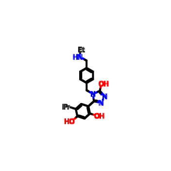 CCNCc1ccc(Cn2c(O)nnc2-c2cc(C(C)C)c(O)cc2O)cc1